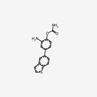 NC(=O)Oc1ccc(-c2ccc3sccc3c2)cc1N